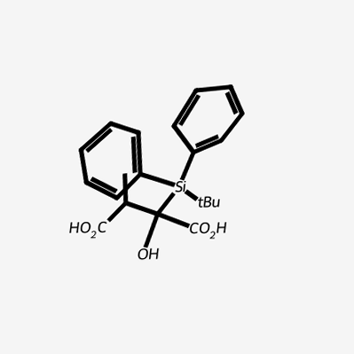 CC(C(=O)O)C(O)(C(=O)O)[Si](c1ccccc1)(c1ccccc1)C(C)(C)C